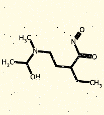 CCC(CCN(C)C(C)O)C(=O)N=O